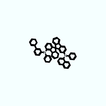 C1=CCCC(c2cccc(N(C3=CCCC=C3)c3cccc4c3C3C=CCCC3C43c4ccccc4-c4ccc(N(c5ccccc5)c5cccc6ccccc56)cc43)c2)=C1